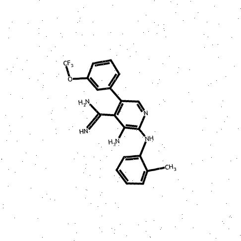 Cc1ccccc1Nc1ncc(-c2cccc(OC(F)(F)F)c2)c(C(=N)N)c1N